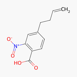 C=CCCc1ccc(C(=O)O)c([N+](=O)[O-])c1